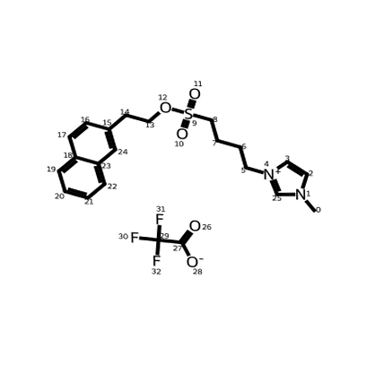 Cn1cc[n+](CCCCS(=O)(=O)OCCc2ccc3ccccc3c2)c1.O=C([O-])C(F)(F)F